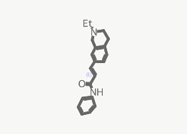 CCN1CCc2ccc(/C=C/C(=O)Nc3ccccc3)cc2C1